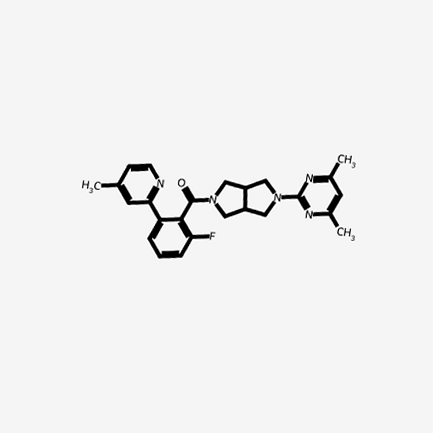 Cc1ccnc(-c2cccc(F)c2C(=O)N2CC3CN(c4nc(C)cc(C)n4)CC3C2)c1